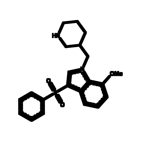 COc1cccc2c(S(=O)(=O)c3ccccc3)cn(CC3CCCNC3)c12